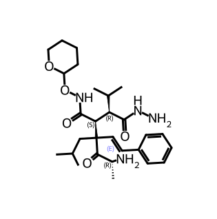 CC(C)CC(/C=C/c1ccccc1)(C(=O)[C@@H](C)N)[C@@H](C(=O)NOC1CCCCO1)[C@H](C(=O)NN)C(C)C